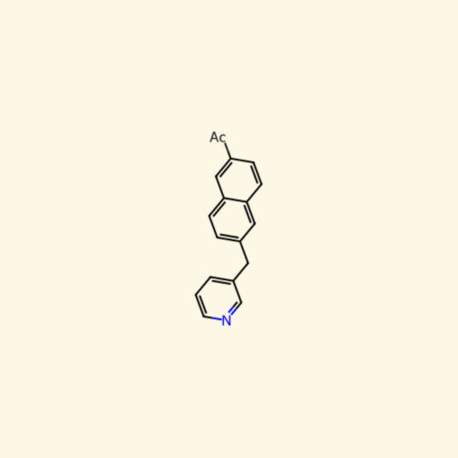 CC(=O)c1ccc2cc(Cc3cccnc3)ccc2c1